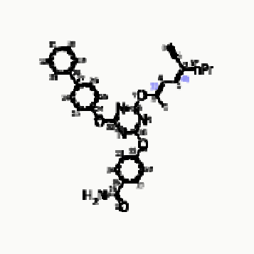 C#C/C(=C\C=C(/C)Oc1nc(Oc2ccc(C(N)=O)cc2)nc(Oc2ccc(-c3ccccc3)cc2)n1)CCC